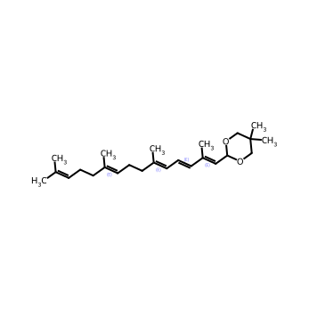 CC(C)=CCC/C(C)=C/CC/C(C)=C/C=C/C(C)=C/C1OCC(C)(C)CO1